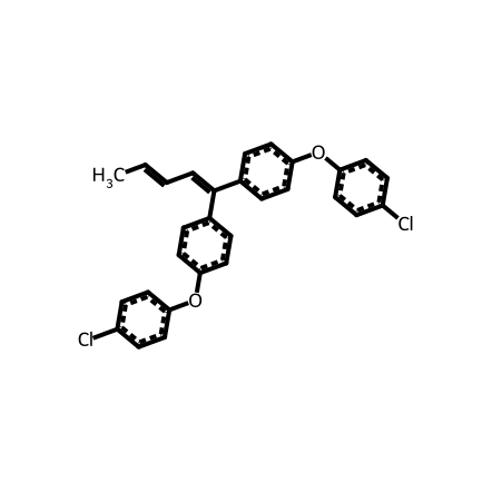 CC=CC=C(c1ccc(Oc2ccc(Cl)cc2)cc1)c1ccc(Oc2ccc(Cl)cc2)cc1